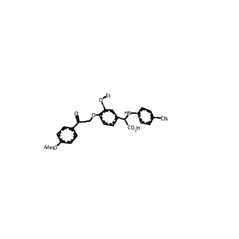 CCOc1cc(C(Nc2ccc(C#N)cc2)C(=O)O)ccc1OCC(=O)c1ccc(OC)cc1